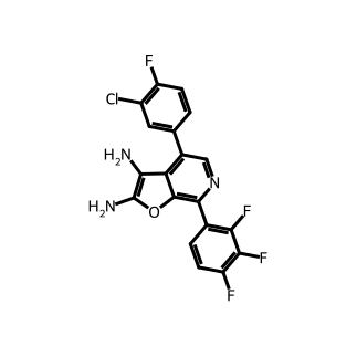 Nc1oc2c(-c3ccc(F)c(F)c3F)ncc(-c3ccc(F)c(Cl)c3)c2c1N